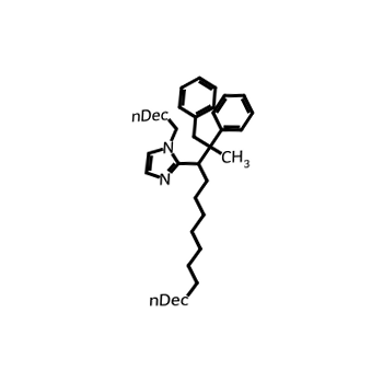 CCCCCCCCCCCCCCCCCC(c1nccn1CCCCCCCCCCC)C(C)(Cc1ccccc1)c1ccccc1